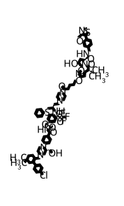 CC(C)[C@@H](C(=O)N1C[C@H](O)C[C@H]1C(=O)NCc1ccc2c(c1)OCc1ncsc1-2)c1cc(OCCCCC(=O)N2CCN(CC[C@H](CSc3ccccc3)Nc3ccc(S(=O)(=O)NC(=O)c4ccc(N5CCN(CC6=C(c7ccc(Cl)cc7)CC(C)(C)CC6)C[C@H]5CO)cc4)cc3S(=O)(=O)C(F)(F)F)CC2)no1